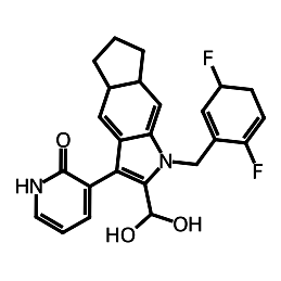 O=c1[nH]cccc1-c1c(C(O)O)n(CC2=CC(F)CC=C2F)c2c1=CC1CCCC1C=2